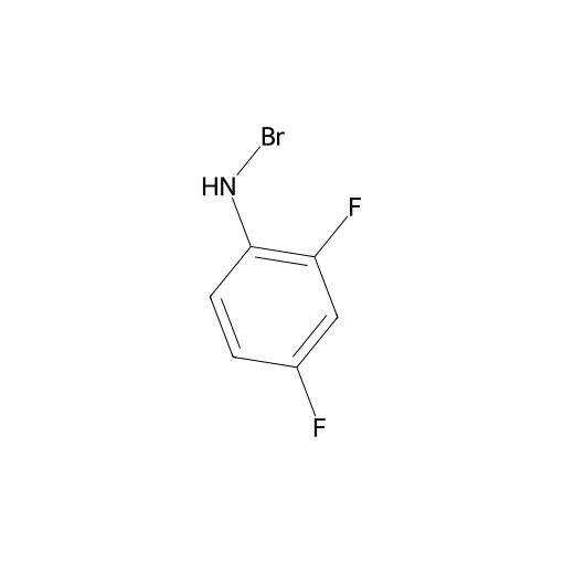 Fc1ccc(NBr)c(F)c1